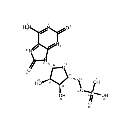 NC1=NC(=O)N=C2C1=NC(=O)N2[C@@H]1O[C@H](COP(=O)(O)O)[C@@H](O)[C@H]1O